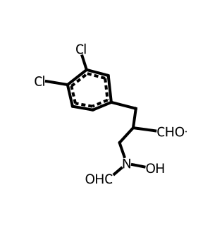 O=[C]C(Cc1ccc(Cl)c(Cl)c1)CN(O)C=O